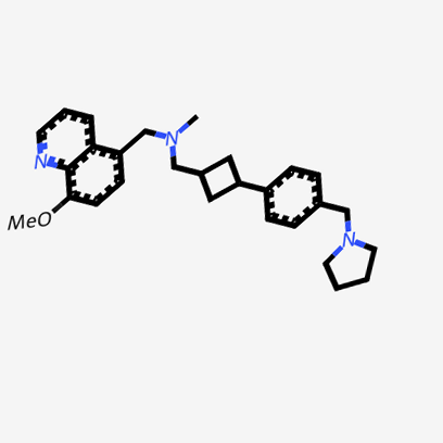 COc1ccc(CN(C)CC2CC(c3ccc(CN4CCCC4)cc3)C2)c2cccnc12